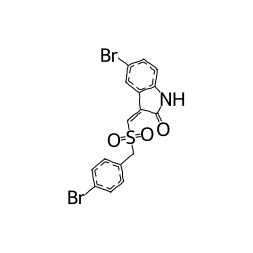 O=C1Nc2ccc(Br)cc2C1=CS(=O)(=O)Cc1ccc(Br)cc1